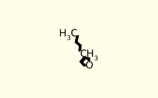 C1=CCOC1.CCCCCC